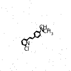 CN(C)c1ccc(/C=C/c2cccc(Cl)n2)cc1